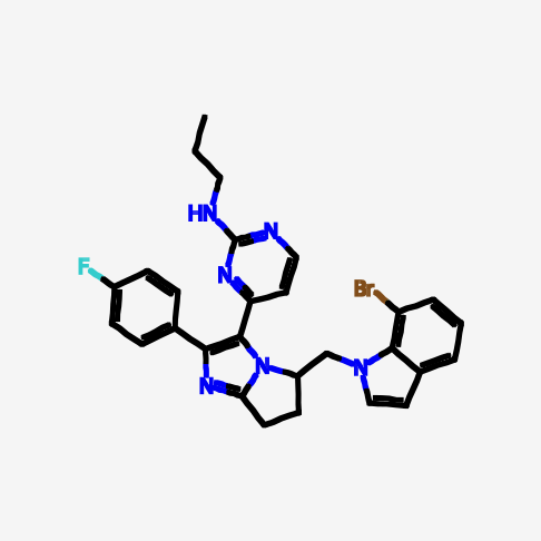 CCCNc1nccc(-c2c(-c3ccc(F)cc3)nc3n2C(Cn2ccc4cccc(Br)c42)CC3)n1